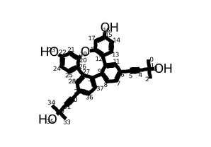 CC(C)(O)C#Cc1ccc2c(c1)c1ccc(O)cc1oc1cc(O)ccc1c1cc(C#CC(C)(C)O)ccc12